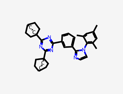 Cc1cc(C)c(-n2ccnc2-c2cccc(-c3nc(C45CCC(CC4)CC5)nc(C45CCC(CC4)CC5)n3)c2)c(C)c1